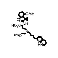 COc1cccc(Cl)c1C1(C(=O)NC(CCN(CCCCc2ccc3c(n2)NCCC3)CCOC(C)C)C(=O)O)CC1